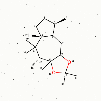 C[C@@H]1CC[C@@H]2C1CC1OC(C)(C)OC1(C)[C@H](C)C2(C)C